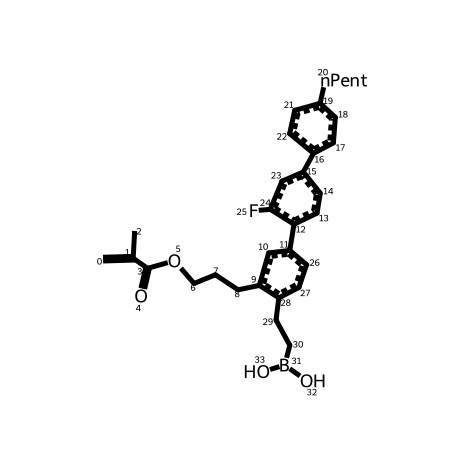 C=C(C)C(=O)OCCCc1cc(-c2ccc(-c3ccc(CCCCC)cc3)cc2F)ccc1CCB(O)O